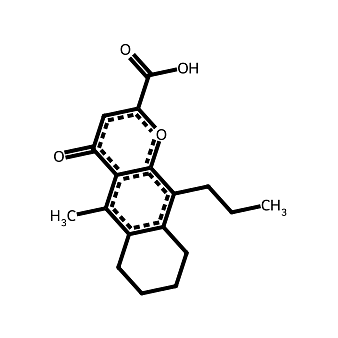 CCCc1c2c(c(C)c3c(=O)cc(C(=O)O)oc13)CCCC2